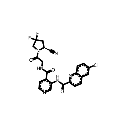 N#C[C@@H]1CC(F)(F)CN1C(=O)CNC(=O)c1ccncc1NC(=O)c1ccc2cc(Cl)ccc2n1